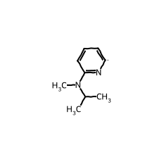 CC(C)N(C)c1ccc[c]n1